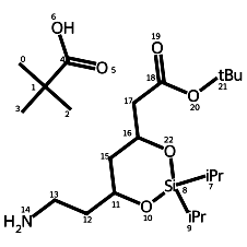 CC(C)(C)C(=O)O.CC(C)[Si]1(C(C)C)OC(CCN)CC(CC(=O)OC(C)(C)C)O1